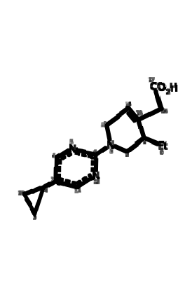 CCC1CN(c2ncc(C3CC3)cn2)CC=C1CC(=O)O